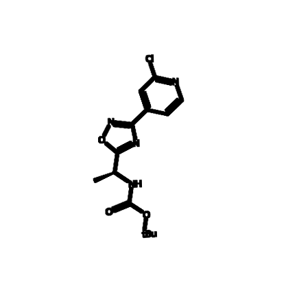 C[C@H](NC(=O)OC(C)(C)C)c1nc(-c2ccnc(Cl)c2)no1